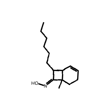 CCCCCCC1C(=NO)C2(C)CCC=CC12